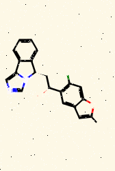 Cc1cc2cc([C@@H](O)C[C@@H]3c4ccccc4-c4cncn43)c(F)cc2o1